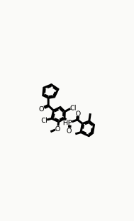 COc1c(Cl)c(C(=O)c2ccccc2)cc(Cl)c1[PH](=O)C(=O)c1c(C)cccc1C